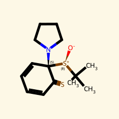 CC(C)(C)[S@+]([O-])[C@@]1(N2CCCC2)C=CC=CC1=S